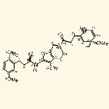 COc1ccc(OC)c(CCC(=O)Nc2sc3c(c2C#N)CCN(C(=O)CCC2=CC(C)(OC)C=CN2)C3)c1